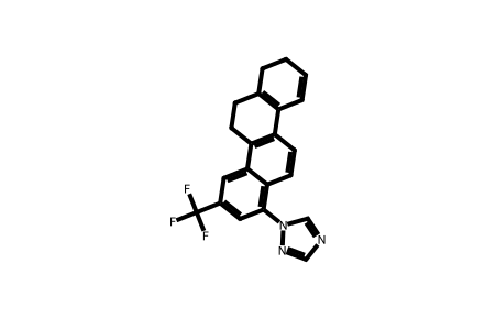 FC(F)(F)c1cc(-n2cncn2)c2ccc3c(c2c1)CCC1=C3C=CCC1